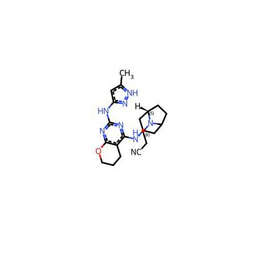 Cc1cc(Nc2nc(N[C@@H]3CC4CC[C@@H](C3)N4CCC#N)c3c(n2)OCCC3)n[nH]1